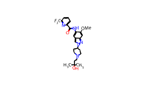 COc1cc2nn(C3CCN(CCC(C)(C)O)CC3)cc2cc1NC(=O)c1cccc(C(F)(F)F)n1